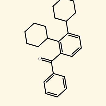 O=C(c1ccccc1)c1cccc(C2CCCCC2)c1C1CCCCC1